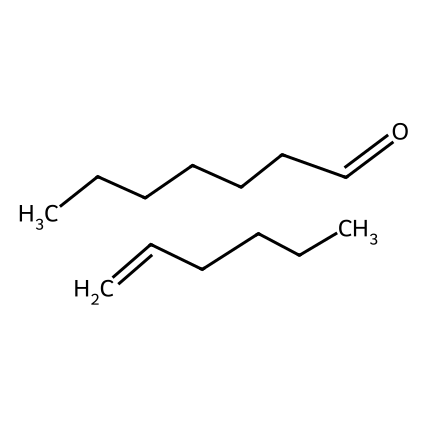 C=CCCCC.CCCCCCC=O